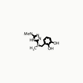 CNc1nnc(N(C)Cc2cccc(O)c2O)[nH]1